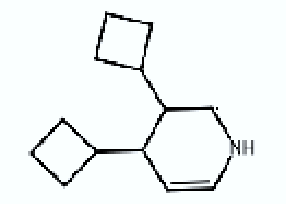 [CH]1NC=CC(C2CCC2)C1C1CCC1